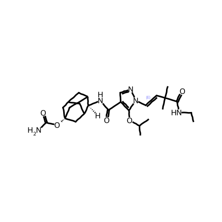 CCNC(=O)C(C)(C)/C=C/n1ncc(C(=O)N[C@H]2C3CC4CC2C[C@](OC(N)=O)(C4)C3)c1OC(C)C